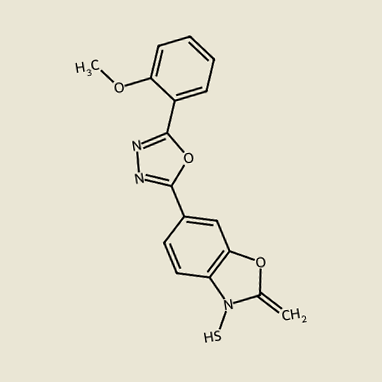 C=C1Oc2cc(-c3nnc(-c4ccccc4OC)o3)ccc2N1S